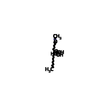 C/C=C/OCCCCCCCCCCCCCCCCC.O=P(O)(O)O